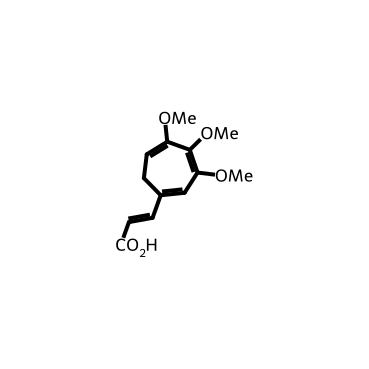 COC1=CCC(/C=C/C(=O)O)=CC(OC)=C1OC